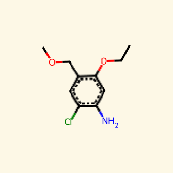 CCOc1cc(N)c(Cl)cc1COC